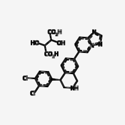 Clc1ccc([C@@H]2CNCc3cc(-c4ccc5ncnn5c4)ccc32)cc1Cl.O=C(O)C(O)C(O)C(=O)O